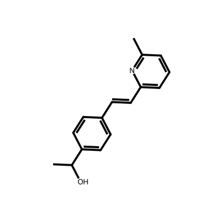 Cc1cccc(C=Cc2ccc(C(C)O)cc2)n1